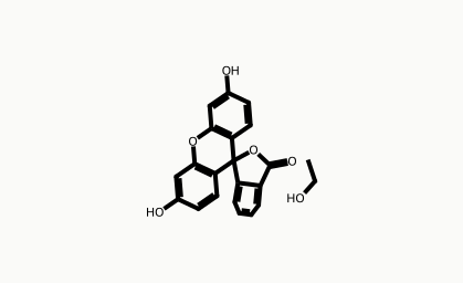 CCO.O=C1OC2(c3ccc(O)cc3Oc3cc(O)ccc32)c2ccccc21